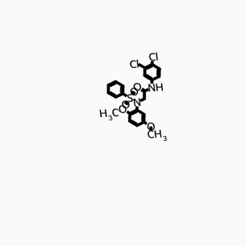 COc1ccc(OC)c(N(CC(=O)Nc2ccc(Cl)c(Cl)c2)S(=O)(=O)c2ccccc2)c1